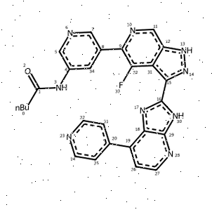 CCCCC(=O)Nc1cncc(-c2ncc3[nH]nc(-c4nc5c(-c6ccncc6)ccnc5[nH]4)c3c2F)c1